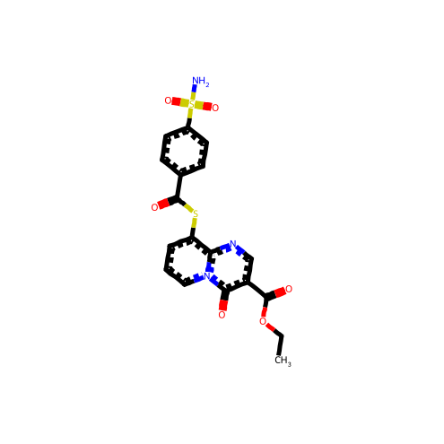 CCOC(=O)c1cnc2c(SC(=O)c3ccc(S(N)(=O)=O)cc3)cccn2c1=O